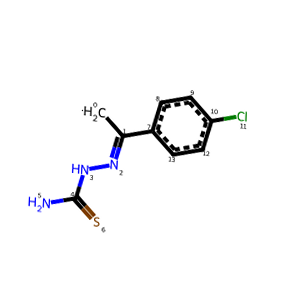 [CH2]C(=NNC(N)=S)c1ccc(Cl)cc1